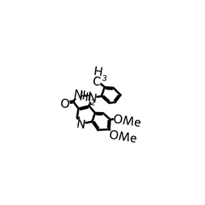 COc1cc2ncc(C(N)=O)c(Nc3ccccc3C)c2cc1OC